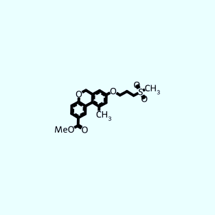 COC(=O)c1ccc2c(c1)-c1c(C)cc(OCCCS(C)(=O)=O)cc1CO2